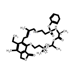 CCc1c(C)c2c(c(OCC[Si](C)(C)C)c1C/C=C(\C)CNCCP(=O)(N[C@@H](C)C(=O)OC(C)C)OC1=CCCC=C1)C(=O)OC2